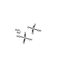 O=S(O)(O)=S.O=S([O-])(O)=S.[AsH3].[Na+]